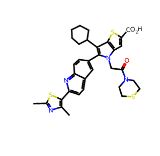 Cc1nc(C)c(-c2ccc3cc(-c4c(C5CCCCC5)c5sc(C(=O)O)cc5n4CC(=O)N4CCSCC4)ccc3n2)s1